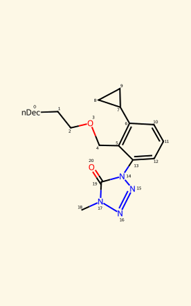 CCCCCCCCCCCCOCc1c(C2CC2)cccc1-n1nnn(C)c1=O